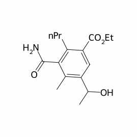 CCCc1c(C(=O)OCC)cc(C(C)O)c(C)c1C(N)=O